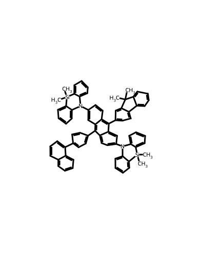 CC1(C)c2ccccc2-c2ccc(-c3c4ccc(N5c6ccccc6[Si](C)(C)c6ccccc65)cc4c(-c4ccc(-c5cccc6ccccc56)cc4)c4ccc(N5c6ccccc6[Si](C)(C)c6ccccc65)cc34)cc21